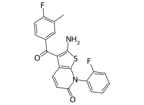 Cc1cc(C(=O)c2c(N)sc3c2ccc(=O)n3-c2ccccc2F)ccc1F